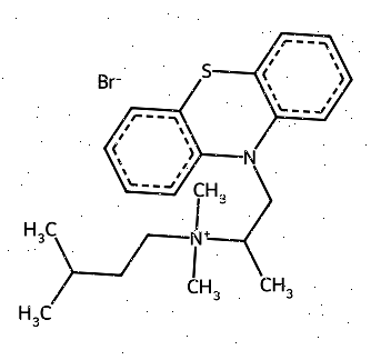 CC(C)CC[N+](C)(C)C(C)CN1c2ccccc2Sc2ccccc21.[Br-]